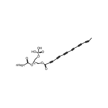 CC#CC#CC#CC#CC#CC#CC(=O)OC[C@H](COP(=O)(O)O)OC(=O)CCCCCCC